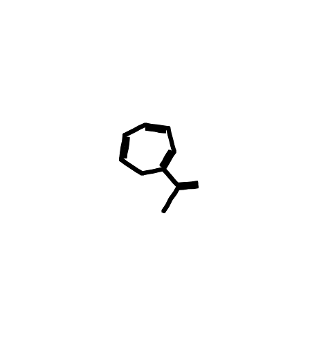 C=C(C)C1=CC=CC=CC1